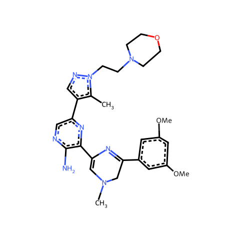 COc1cc(OC)cc(C2=NC(c3nc(-c4cnn(CCN5CCOCC5)c4C)cnc3N)=CN(C)C2)c1